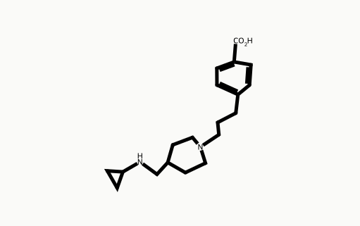 O=C(O)c1ccc(CCCN2CCC(CNC3CC3)CC2)cc1